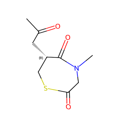 CC(=O)C[C@H]1CSC(=O)CN(C)C1=O